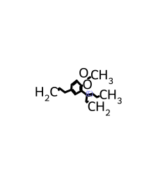 C=CCc1ccc(OC(C)=O)c(/C(C=C)=C/CC)c1